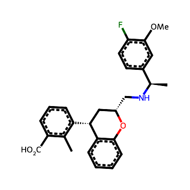 COc1cc([C@@H](C)NC[C@H]2C[C@@H](c3cccc(C(=O)O)c3C)c3ccccc3O2)ccc1F